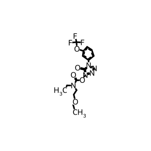 CCOCCN(CC)C(=O)On1nnn(-c2cccc(OC(F)(F)F)c2)c1=O